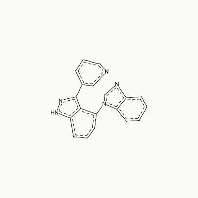 c1cncc(-c2n[nH]c3cccc(-n4cnc5ccccc54)c23)c1